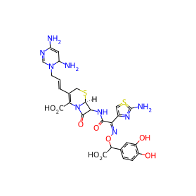 NC1=CC(N)N(C/C=C/C2=C(C(=O)O)N3C(=O)C(NC(=O)/C(=N\OC(C(=O)O)c4ccc(O)c(O)c4)c4csc(N)n4)[C@@H]3SC2)C=N1